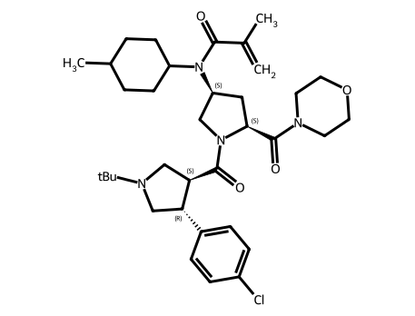 C=C(C)C(=O)N(C1CCC(C)CC1)[C@H]1C[C@@H](C(=O)N2CCOCC2)N(C(=O)[C@@H]2CN(C(C)(C)C)C[C@H]2c2ccc(Cl)cc2)C1